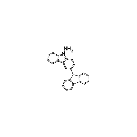 Nn1c2ccccc2c2cc(C3c4ccccc4-c4ccccc43)ccc21